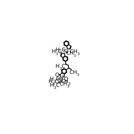 CCC(CC(C)c1ccc2c(c1)C=C(C)C2[Si](C)(C)C1C(C)=Cc2ccccc21)c1ccc2c(c1)C(=O)N([Si](C)(C)C(C)(C)C)C2=O